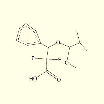 COC(OC(c1ccccc1)C(F)(F)C(=O)O)C(C)C